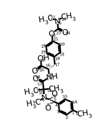 Cc1ccc(S(=O)(=O)N(C)C(C)(C)C(=O)N[C@@H](Cc2ccc(OC(=O)N(C)C)cc2)C(=O)O)cc1